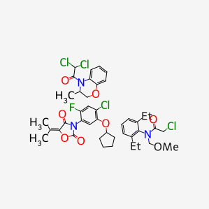 CC(C)=C1OC(=O)N(c2cc(OC3CCCC3)c(Cl)cc2F)C1=O.CC1COc2ccccc2N1C(=O)C(Cl)Cl.CCc1cccc(CC)c1N(COC)C(=O)CCl